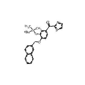 CC(C)(C)[Si](C)(C)Oc1cc(C(=O)c2nccs2)ccc1OCc1ccc2ccccc2c1